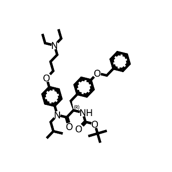 CCN(CC)CCCOc1ccc(N(CC(C)C)C(=O)[C@@H](Cc2ccc(OCc3ccccc3)cc2)NC(=O)OC(C)(C)C)cc1